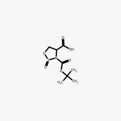 CC(C)(C)OC(=O)N1C(C(=O)O)COS1=O